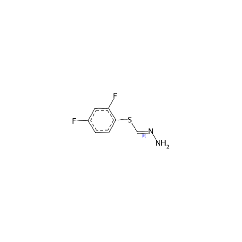 N/N=C/Sc1ccc(F)cc1F